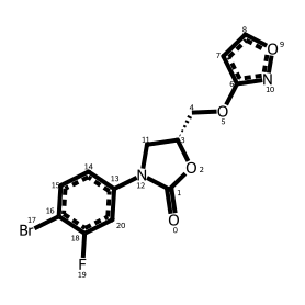 O=C1O[C@@H](COc2ccon2)CN1c1ccc(Br)c(F)c1